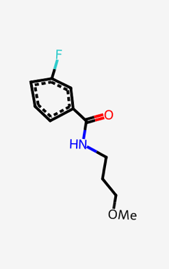 COCCCNC(=O)c1cccc(F)c1